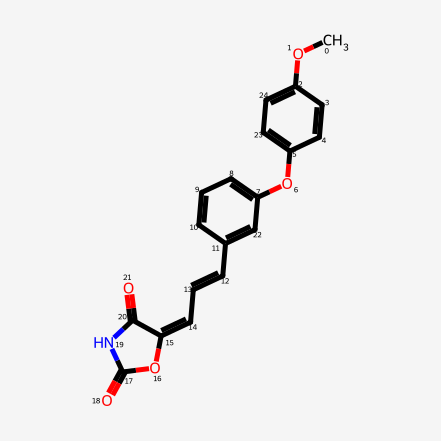 COc1ccc(Oc2cccc(C=CC=C3OC(=O)NC3=O)c2)cc1